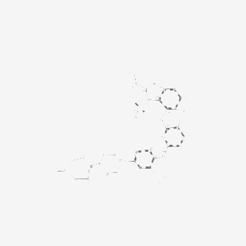 COc1cc(N2CCC(N3CCN(C)CC3)CC2)ccc1Nc1ncc(Cl)c(Nc2cccc3c2N(S(C)(=O)=O)C(CCO)C3)n1